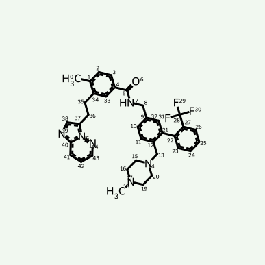 Cc1ccc(C(=O)NCc2ccc(CN3CCN(C)CC3)c(-c3ccccc3C(F)(F)F)c2)cc1CCc1cnc2cccnn12